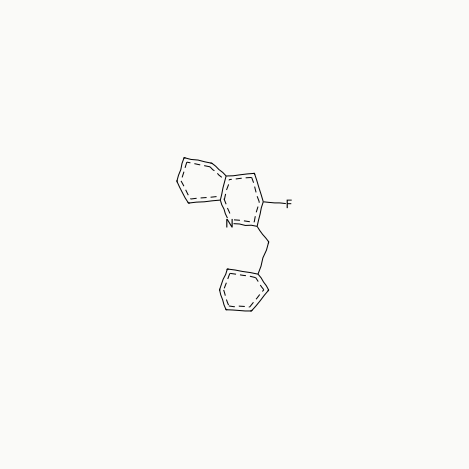 Fc1cc2ccccc2nc1Cc1ccccc1